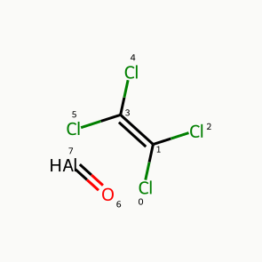 ClC(Cl)=C(Cl)Cl.[O]=[AlH]